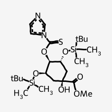 COC(=O)[C@]1(O)C[C@@H](O[Si](C)(C)C(C)(C)C)[C@@H](OC(=S)n2ccnc2)[C@H](O[Si](C)(C)C(C)(C)C)C1